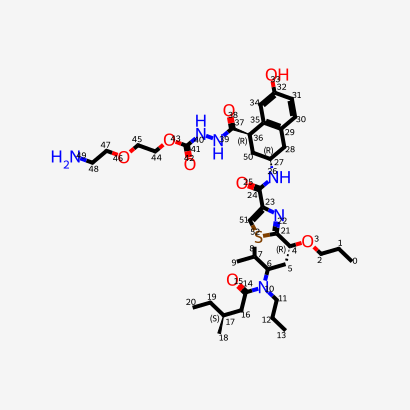 CCCO[C@H](CC(C(C)C)N(CCC)C(=O)C[C@@H](C)CC)c1nc(C(=O)N[C@H]2Cc3ccc(O)cc3[C@H](C(=O)NNC(=O)OCCOCCN)C2)cs1